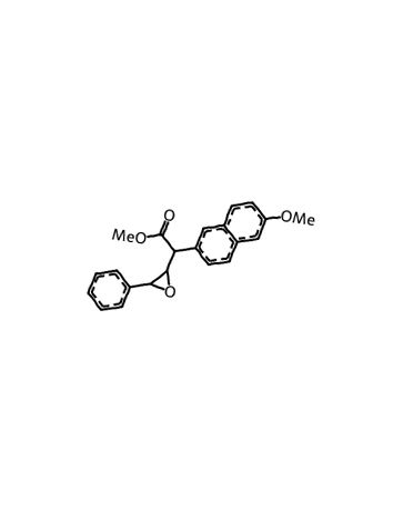 COC(=O)C(c1ccc2cc(OC)ccc2c1)C1OC1c1ccccc1